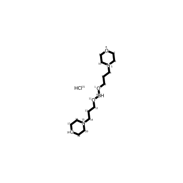 B(OCCCN1CCOCC1)OCCCN1CCOCC1.Cl